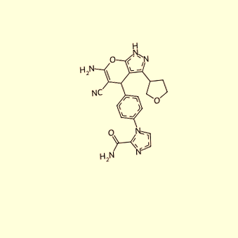 N#CC1=C(N)Oc2[nH]nc(C3CCOC3)c2C1c1ccc(-n2ccnc2C(N)=O)cc1